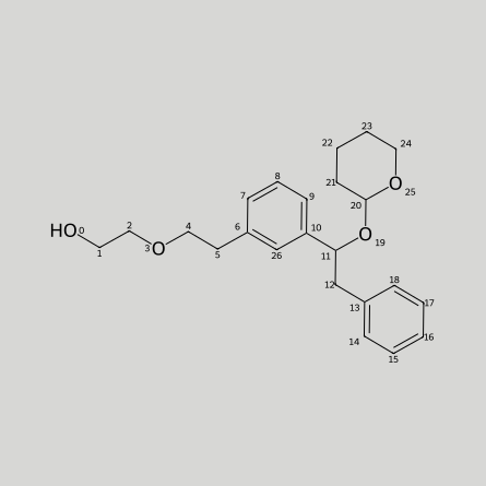 OCCOCCc1cccc(C(Cc2ccccc2)OC2CCCCO2)c1